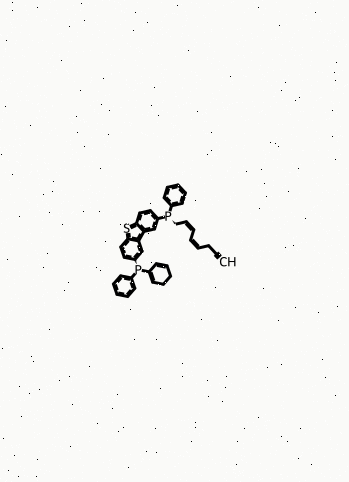 C#CC/C=C\C=C/C[P@@](c1ccccc1)c1ccc2sc3ccc([P@](C4=CCCC=C4)c4ccccc4)cc3c2c1